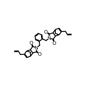 C=CCC1=CC2CC1C1C(=O)N(Cc3ccccc3CN3C(=O)C4C5C=C(CC=C)C(C5)C4C3=O)C(=O)C21